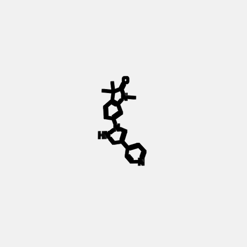 CN1C(=O)C(C)(C)c2ccc(N3C=C(c4ccncc4)CN3)cc21